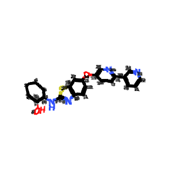 O[C@@H]1CCCC[C@H]1Nc1nc2ccc(Oc3ccc(-c4cccnc4)nc3)cc2s1